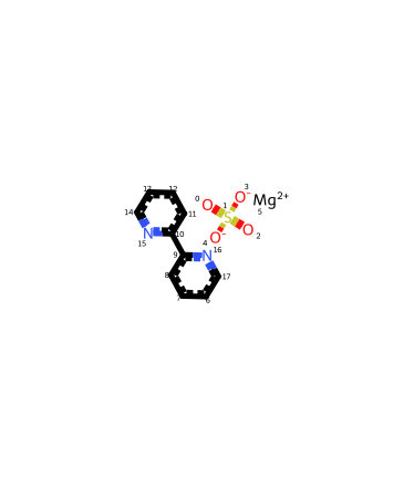 O=S(=O)([O-])[O-].[Mg+2].c1ccc(-c2ccccn2)nc1